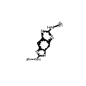 CC(C)Nc1nc2cc3sc(NC(C)C)nc3cc2s1